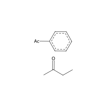 CC(=O)c1ccccc1.CCC(C)=O